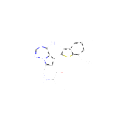 CCN(Cc1cc(-c2cc3cc(C)cc(OC)c3s2)c2c(N)ncnn12)C(C)CO